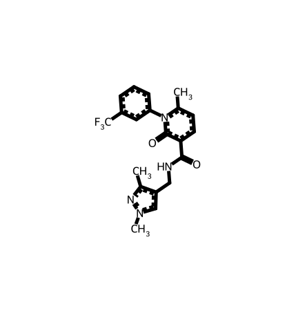 Cc1nn(C)cc1CNC(=O)c1ccc(C)n(-c2cccc(C(F)(F)F)c2)c1=O